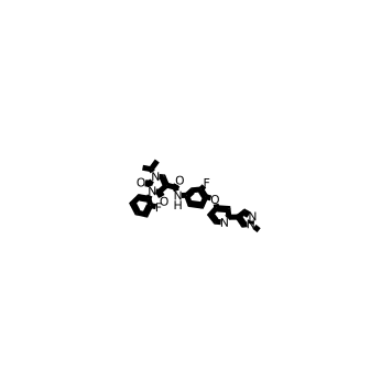 CC(C)n1cc(C(=O)Nc2ccc(Oc3ccnc(-c4cnn(C)c4)c3)c(F)c2)c(=O)n(-c2ccccc2F)c1=O